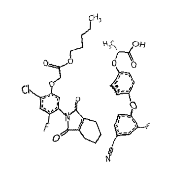 CCCCCOC(=O)COc1cc(N2C(=O)C3=C(CCCC3)C2=O)c(F)cc1Cl.C[C@@H](Oc1ccc(Oc2ccc(C#N)cc2F)cc1)C(=O)O